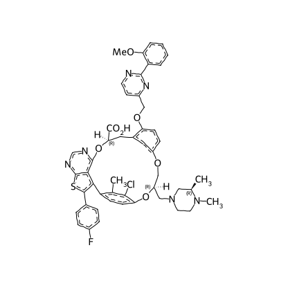 COc1ccccc1-c1nccc(COc2ccc3cc2C[C@H](C(=O)O)Oc2ncnc4sc(-c5ccc(F)cc5)c(c24)-c2ccc(c(Cl)c2C)O[C@H](CN2CCN(C)[C@H](C)C2)CO3)n1